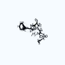 CCC(NC(=O)C(N)CS(=O)(=O)CC1CC1)C(=O)c1noc(-c2ccccc2)n1